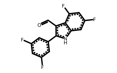 O=Cc1c(-c2cc(F)cc(F)c2)[nH]c2cc(F)cc(F)c12